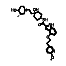 COc1ccc(CCOc2cccc3[nH]c(C(=O)N[C@H]4CC[C@](O)(CCN5CC[C@H](O)[C@@H](C)C5)CC4)cc23)cn1